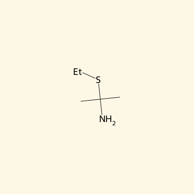 [CH2]CSC(C)(C)N